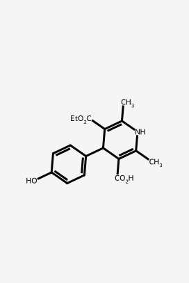 CCOC(=O)C1=C(C)NC(C)=C(C(=O)O)C1c1ccc(O)cc1